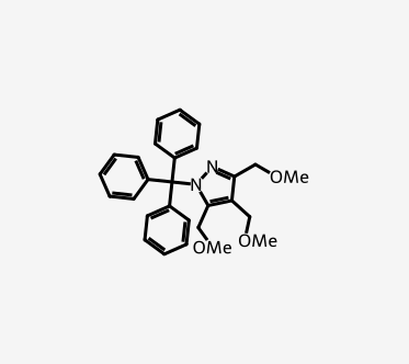 COCc1nn(C(c2ccccc2)(c2ccccc2)c2ccccc2)c(COC)c1COC